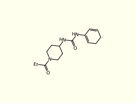 CCC(=O)N1CCC(NC(=O)NC2=CC[CH]C=C2)CC1